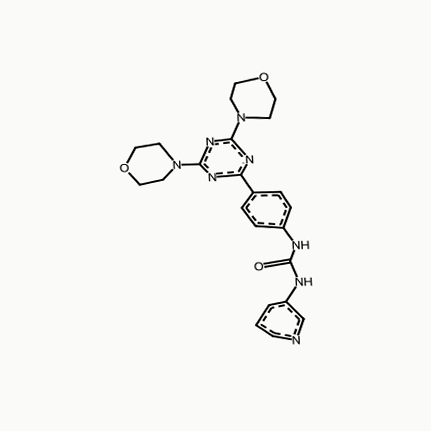 O=C(Nc1ccc(-c2nc(N3CCOCC3)nc(N3CCOCC3)n2)cc1)Nc1cccnc1